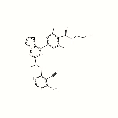 Cc1cc(-c2nc(C(C)Nc3ncnc(N)c3C#N)nn3cccc23)cc(C)c1C(=O)NCCO